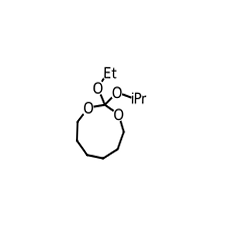 CCOC1(OC(C)C)OCCCCCCO1